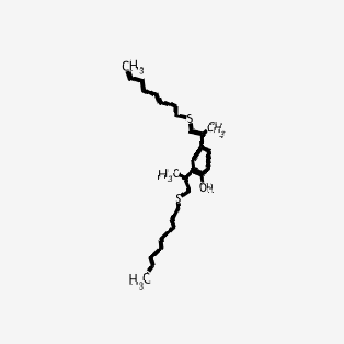 CCCCCCCCSCC(C)c1ccc(O)c(C(C)CSCCCCCCCC)c1